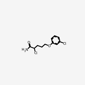 NC(=O)C(Cl)CCCOc1cccc(Cl)c1